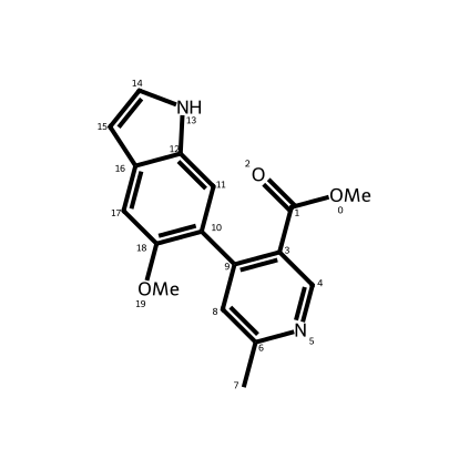 COC(=O)c1cnc(C)cc1-c1cc2[nH]ccc2cc1OC